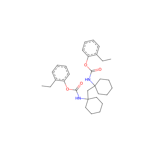 CCc1ccccc1OC(=O)NC1(CC2(NC(=O)Oc3ccccc3CC)CCCCC2)CCCCC1